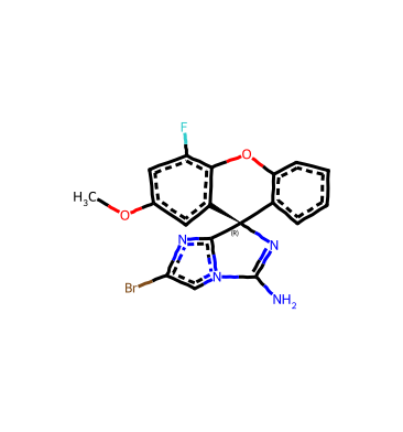 COc1cc(F)c2c(c1)[C@]1(N=C(N)n3cc(Br)nc31)c1ccccc1O2